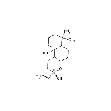 C=C[C@]1(C)CCC2C(CCC3C(C)(C)CCCC23C)O1